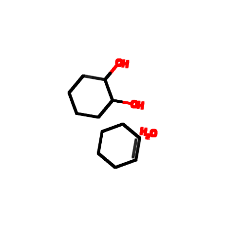 C1=CCCCC1.O.OC1CCCCC1O